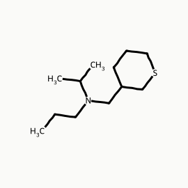 CCCN(CC1CCCSC1)C(C)C